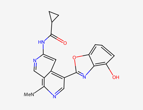 CNc1ncc(-c2nc3c(O)cccc3o2)c2cc(NC(=O)C3CC3)ncc12